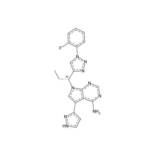 CC[C@H](c1cn(-c2ccccc2F)nn1)n1cc(-c2cc[nH]n2)c2c(N)ncnc21